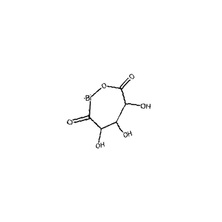 O=C1[O][Bi][C](=O)C(O)C(O)C1O